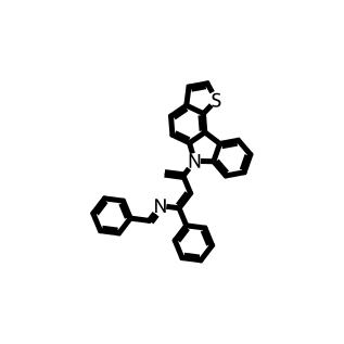 C=C(/C=C(\N=C\c1ccccc1)c1ccccc1)n1c2ccccc2c2c3sccc3ccc21